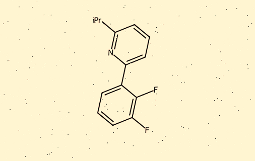 CC(C)c1cccc(-c2cccc(F)c2F)n1